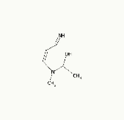 CC(O)N(C)/C=C\C=N